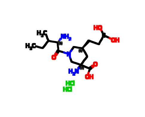 CCC(C)[C@H](N)C(=O)N1C[C@@H](CCB(O)O)C[C@](N)(C(=O)O)C1.Cl.Cl